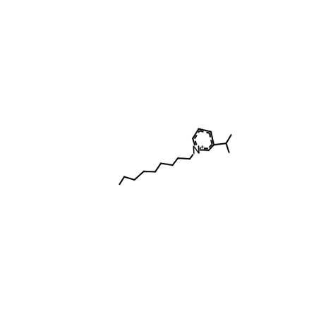 CCCCCCCCC[n+]1cccc(C(C)C)c1